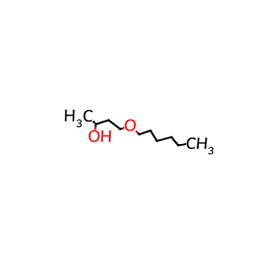 CCCCCCOCC[C@H](C)O